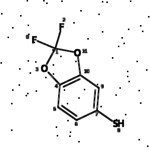 FC1(F)Oc2ccc(S)cc2O1